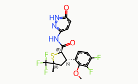 COc1c([C@@H]2C[C@](C)(C(F)(F)F)S[C@H]2C(=O)Nc2ccc(=O)[nH]n2)ccc(F)c1F